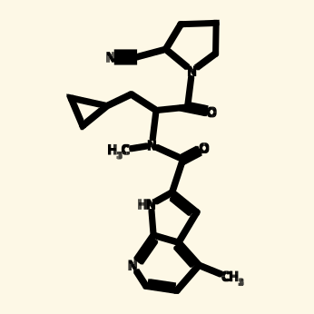 Cc1ccnc2[nH]c(C(=O)N(C)C(CC3CC3)C(=O)N3CCCC3C#N)cc12